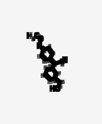 CON=C1C=CC(=C(C#N)c2cccc(CO)c2)C=C1